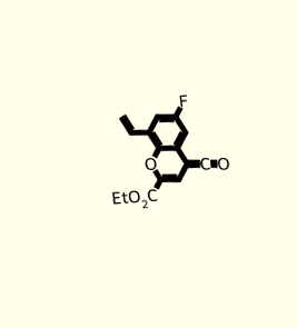 C=Cc1cc(F)cc2c1OC(C(=O)OCC)=CC2=C=O